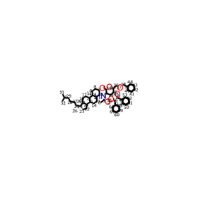 CC(=O)NC1[C@@H](O[C@H]2CC[C@@]3(C)C(CCC4C3CC[C@@]3(C)C4CC[C@@H]3[C@H](C)CCCC(C)C)C2)OC(COCc2ccccc2)[C@@H](OCc2ccccc2)[C@@H]1OCc1ccccc1